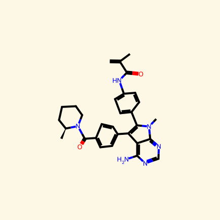 C=C(C)C(=O)Nc1ccc(-c2c(-c3ccc(C(=O)N4CCCC[C@@H]4C)cc3)c3c(N)ncnc3n2C)cc1